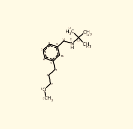 COCCCc1cccc(CNC(C)(C)C)c1